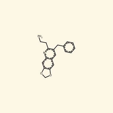 PCCc1nc2cc3c(cc2cc1Cc1ccccc1)OCO3